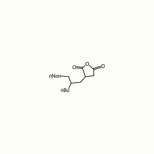 CCCCCCCCCCC(CCCC)CC1CC(=O)OC1=O